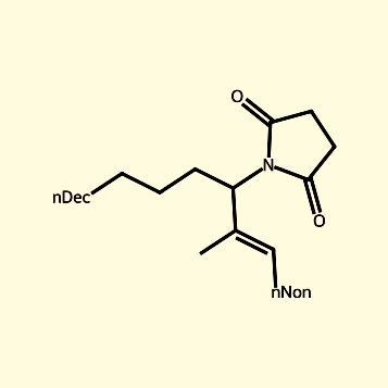 CCCCCCCCCC=C(C)C(CCCCCCCCCCCCC)N1C(=O)CCC1=O